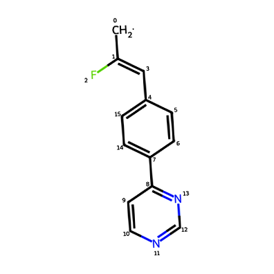 [CH2]/C(F)=C/c1ccc(-c2ccncn2)cc1